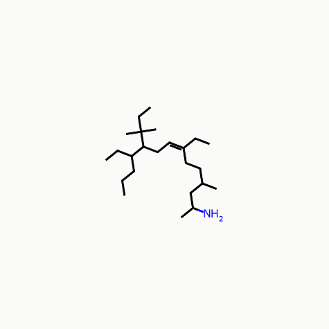 CCCC(CC)C(C/C=C(/CC)CCC(C)CC(C)N)C(C)(C)CC